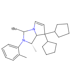 Cc1ccccc1N1C(C(C)(C)C)N2C=CC(C3CCCC3)(C3CCCC3)C2[C@@H]1C